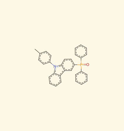 Cc1ccc(-n2c3ccccc3c3cc(P(=O)(c4ccccc4)c4ccccc4)ccc32)cc1